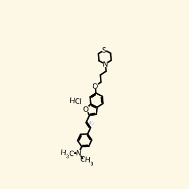 CN(C)c1ccc(/C=C/c2cc3ccc(OCCCN4CCSCC4)cc3o2)cc1.Cl